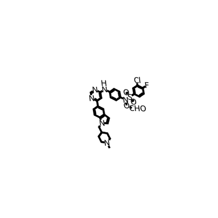 CN1CCC(Cn2ccc3cc(-c4cc(Nc5ccc(N(OC=O)S(=O)(=O)c6ccc(F)c(Cl)c6)cc5)ncn4)ccc32)CC1